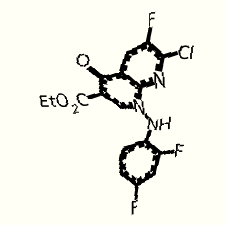 CCOC(=O)c1cn(Nc2ccc(F)cc2F)c2nc(Cl)c(F)cc2c1=O